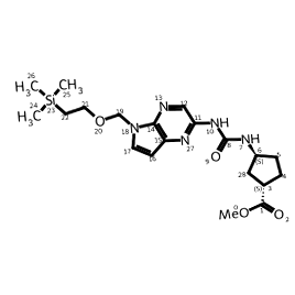 COC(=O)[C@H]1CC[C@H](NC(=O)Nc2cnc3c(ccn3COCC[Si](C)(C)C)n2)C1